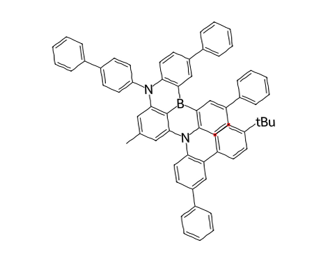 Cc1cc2c3c(c1)N(c1ccc(-c4ccccc4)cc1-c1ccc(C(C)(C)C)cc1)c1ccc(-c4ccccc4)cc1B3c1cc(-c3ccccc3)ccc1N2c1ccc(-c2ccccc2)cc1